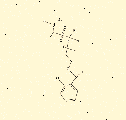 CCN(CC)C(C)S(=O)(=O)C(F)(F)C(F)(F)CCOC(=O)c1ccccc1O